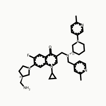 Cc1ccc(N2CCC[C@H](N(Cc3ccnc(C)c3)Cc3cn(C4CC4)c4cc(N5CC[C@H](CN)C5)c(F)cc4c3=O)C2)cn1